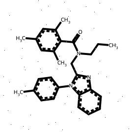 CCCN(Cc1nc2ccccc2n1-c1ccc(C)cc1)C(=O)c1c(C)cc(C)cc1C